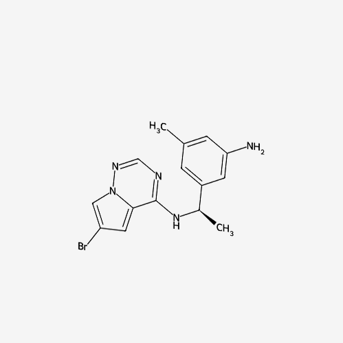 Cc1cc(N)cc([C@@H](C)Nc2ncnn3cc(Br)cc23)c1